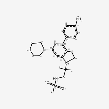 CC(C)(CNS(C)(=O)=O)N1CCc2c(-c3cnc(N)nc3)nc(N3CCOCC3)nc21